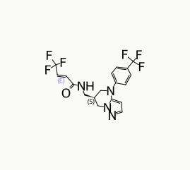 O=C(/C=C/C(F)(F)F)NC[C@H]1CN(c2ccc(C(F)(F)F)cc2)c2ccnn2C1